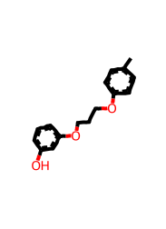 Cc1ccc(OCCCOc2cccc(O)c2)cc1